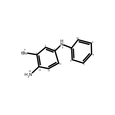 CC(C)(C)c1cc(Nc2ccccc2)ccc1N